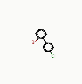 Clc1ccc(-c2[c]cccc2Br)cc1